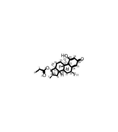 CCC(=O)O[C@H]1[C@H](C)C[C@H]2[C@@H]3C[C@H](F)C4=CC(=O)C=C(O)[C@]4(C)[C@@]3(F)CC[C@@]21C